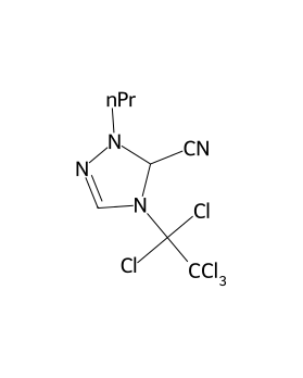 CCCN1N=CN(C(Cl)(Cl)C(Cl)(Cl)Cl)C1C#N